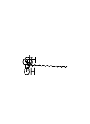 CCCCCCCCCCCCCCCCCCNc1cc(O)ccc1S(=O)(=O)O